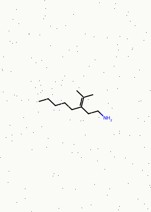 CCCCCC(CCN)=C(C)C